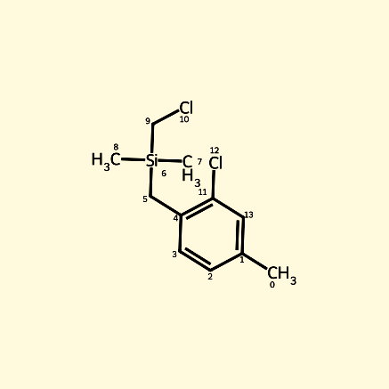 Cc1ccc(C[Si](C)(C)CCl)c(Cl)c1